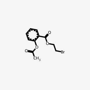 CC(=O)Oc1ccccc1C(=O)OCCBr